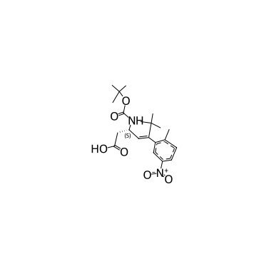 Cc1ccc([N+](=O)[O-])cc1C(=C[C@H](CC(=O)O)NC(=O)OC(C)(C)C)C(C)(C)C